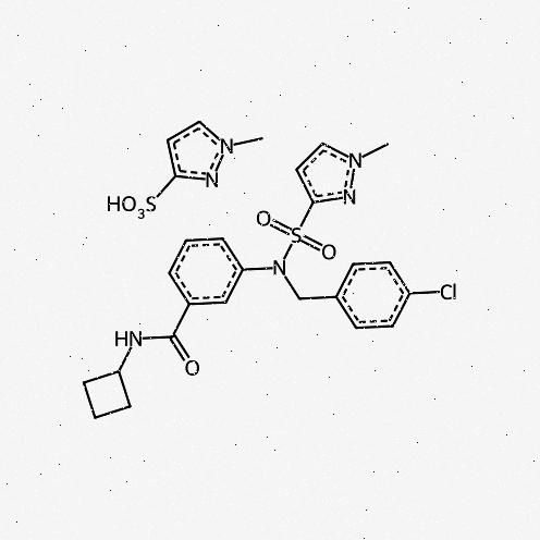 Cn1ccc(S(=O)(=O)N(Cc2ccc(Cl)cc2)c2cccc(C(=O)NC3CCC3)c2)n1.Cn1ccc(S(=O)(=O)O)n1